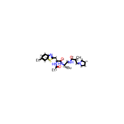 CCC(=O)N[C@@H](Cc1nc2ccc(CC)cc2s1)C(=O)NC(CNC(=O)C(C)CN1CCCC1)[C@@H](C)CC